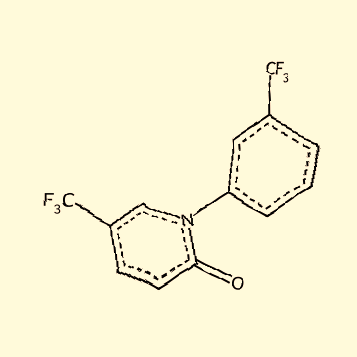 O=c1ccc(C(F)(F)F)cn1-c1cccc(C(F)(F)F)c1